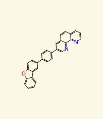 c1cnc2c(c1)ccc1cc(-c3ccc(-c4ccc5oc6ccccc6c5c4)cc3)cnc12